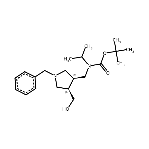 CC(C)N(C[C@@H]1CN(Cc2ccccc2)C[C@@H]1CO)C(=O)OC(C)(C)C